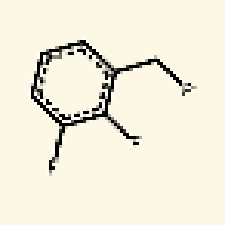 Fc1cccc(C[P])c1F